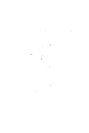 CC(C)CCC[C@@H](C)[C@H]1CC[C@H]2[C@@H]3CC(O)=C4C[C@@H](O)C(O)C[C@]4(C)[C@H]3CC[C@]12C